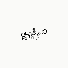 CC(N=Cc1ccccc1O)C(C)(O)CC(=N)C(=O)OCc1ccccc1